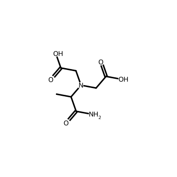 CC(C(N)=O)N(CC(=O)O)CC(=O)O